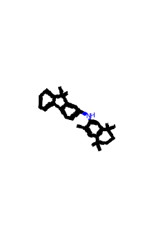 Cc1cc2c(cc1Nc1ccc3c(c1)C(C)(C)c1ccccc1-3)C(C)(C)CCC2(C)C